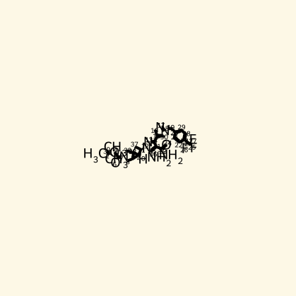 CC(C)(C)OC(=O)N1CC2[C@@H]3[C@H](n4nc(-c5cnn(Cc6ccc(C(F)(F)F)cc6)c5)c(C(N)=O)c4N)C[C@]23C1